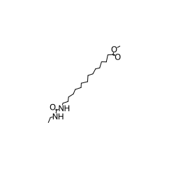 CCNC(=O)NCCCCCCCCCCCCCCCC(=O)OC